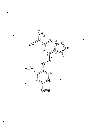 COc1cc(C=O)c(OCc2cc(C(N)=O)cn3ccnc23)cn1